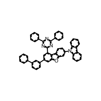 c1ccc(-c2cccc(-c3cc(-c4nc(-c5ccccc5)nc(-c5ccccc5)n4)c4c(c3)oc3cc(-n5c6ccccc6c6ccccc65)ccc34)c2)cc1